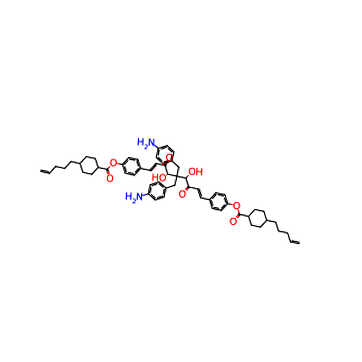 C=CCCCC1CCC(C(=O)Oc2ccc(/C=C/C(=O)C(O)C(Cc3ccc(N)cc3)(Cc3ccc(N)cc3)C(O)C(=O)/C=C/c3ccc(OC(=O)C4CCC(CCCC=C)CC4)cc3)cc2)CC1